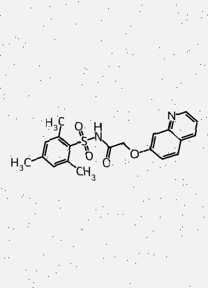 Cc1cc(C)c(S(=O)(=O)NC(=O)COc2ccc3cccnc3c2)c(C)c1